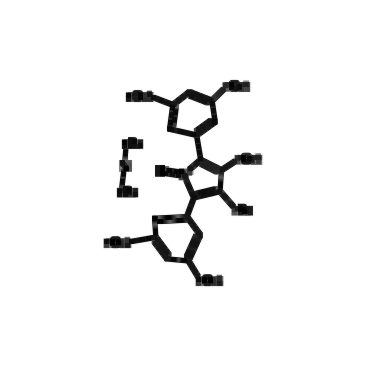 CCCCCCCCC1=C(c2cc(CCCCCCCC)cc(CCCCCCCC)c2)[N+](=[N-])C(c2cc(CCCCCCCC)cc(CCCCCCCC)c2)=C1CCCC.CCC[CH2][Ni][CH2]CCC